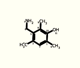 Cc1cc(C)c(CN)c(C)c1O